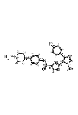 CC(C)n1cnc(-c2ccc(F)cc2)c1-c1ncc(C(=O)Nc2ccc(N3CCN(C)CC3)cc2)s1